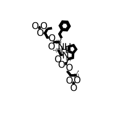 CC1OC(=O)OC1COC(=O)[C@H](CCc1ccccc1)N[C@@H](C)C(=O)N1[C@H](C(=O)OCC2OC(=O)O[C@H]2C)CC2CCC[C@@H]21